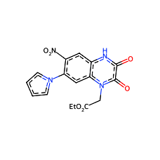 CCOC(=O)Cn1c(=O)c(=O)[nH]c2cc([N+](=O)[O-])c(-n3cccc3)cc21